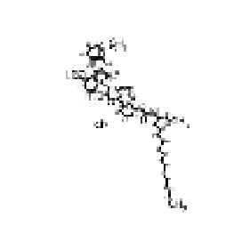 CCCCCCCCCCCCCCC(CCC)NC(=O)OC1CCCN(C(=O)O[C@H](C)COC(=O)N(Cc2cccc[n+]2CC)C(=O)c2ccccc2OC)C1OC.[Cl-]